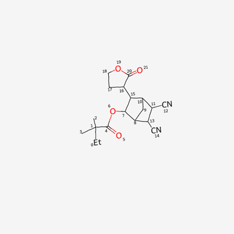 CCC(C)(C)C(=O)OC1C2CC(C(C#N)C2C#N)C1C1CCOC1=O